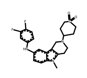 Cn1c2c(c3cc(Nc4ccc(F)c(F)c4)ccc31)CN(C1CCS(=O)(=O)CC1)CC2